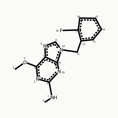 CNc1nc(OC)c2ncn(Cc3ccccc3F)c2n1